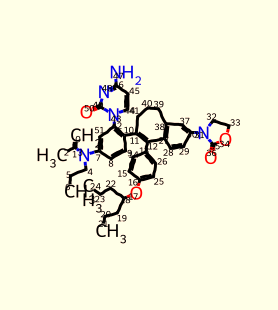 C=C(C)N(CCC)c1ccc(C2=C(c3ccc(OC(CCC)CCC)cc3)c3ccc(N4CCOC4=O)cc3CCC2)c(-n2ccc(N)nc2=O)c1